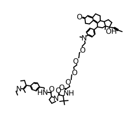 CC#CC1(O)CCC2C3CCC4=CC(=O)CCC4=C3C(c3ccc(N(C)CCOCCOCCOCCOCC(=O)NC(C(=O)N4CCCC4C(=O)NCc4ccc(/C(CC)=C(C)/N=C\C)cc4)C(C)(C)C)cc3)CC21C